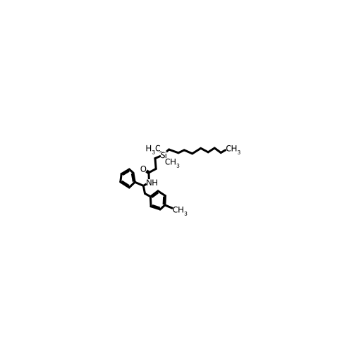 CCCCCCCCC[Si](C)(C)CCC(=O)NC(Cc1ccc(C)cc1)c1ccccc1